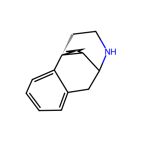 c1ccc2c(c1)CC1NCC[C@@]23CCCCC13